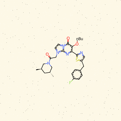 CCCCOc1c(-c2ncc(Cc3ccc(F)cc3)s2)nc2n(CC(=O)N3C[C@H](C)C[C@@H](C)C3)ccn2c1=O